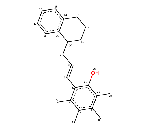 Cc1c(C)c(C)c(C=CCC2CCCc3ccccc32)c(O)c1C